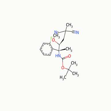 CO[C@@H](CC(C)(C#N)C#N)[C@](C)(NC(=O)OC(C)(C)C)c1ccccc1F